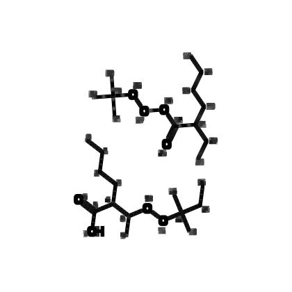 CCCCC(C(=O)O)C(C)OOC(C)(C)CC.CCCCC(CC)C(=O)OOOC(C)(C)C